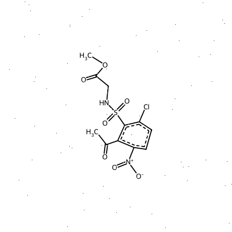 COC(=O)CNS(=O)(=O)c1c(Cl)ccc([N+](=O)[O-])c1C(C)=O